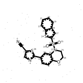 N#Cc1cnc(-c2ccc3c(c2)N(S(=O)(=O)c2cc4ccccc4s2)CCO3)s1